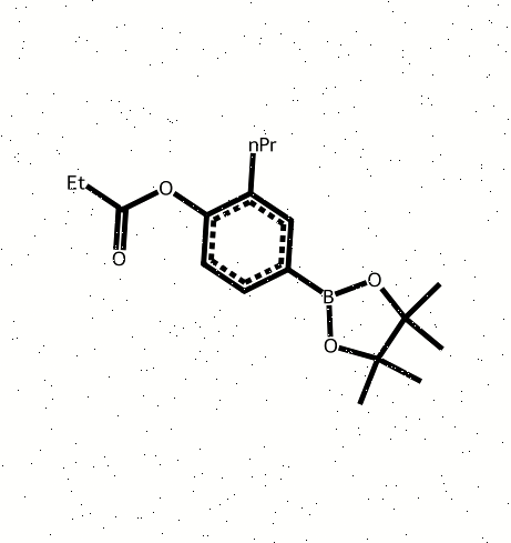 CCCc1cc(B2OC(C)(C)C(C)(C)O2)ccc1OC(=O)CC